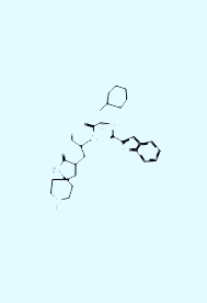 CC(=O)N1CCC2(CC1)CC(CC(CO)NC(=O)[C@H](CC1CCCCC1)NC(=O)c1cc3ccccc3[nH]1)C(=O)N2